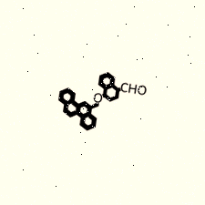 O=CC1CCC(OCc2cc3c4ccccc4ccc3c3ccccc23)c2ccccc21